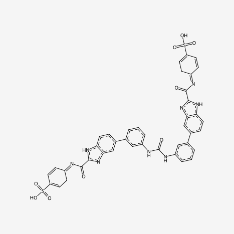 O=C(Nc1cccc(-c2ccc3[nH]c(C(=O)N=C4C=CC(S(=O)(=O)O)=CC4)nc3c2)c1)Nc1cccc(-c2ccc3[nH]c(C(=O)N=C4C=CC(S(=O)(=O)O)=CC4)nc3c2)c1